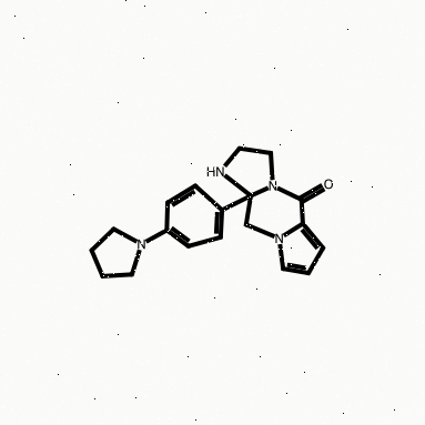 O=C1c2cccn2CC2(c3ccc(N4CCCC4)cc3)NCCN12